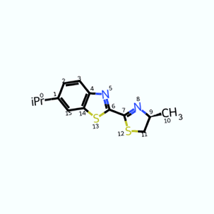 CC(C)c1ccc2nc(C3=N[C@@H](C)CS3)sc2c1